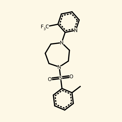 Cc1ccccc1S(=O)(=O)N1CCCN(c2ncccc2C(F)(F)F)CC1